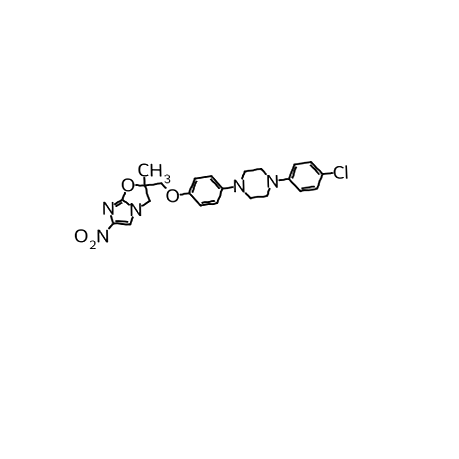 CC1(COc2ccc(N3CCN(c4ccc(Cl)cc4)CC3)cc2)Cn2cc([N+](=O)[O-])nc2O1